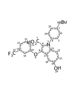 CCCCc1ccc(-n2c(C(=O)O)c(Oc3cccc(C(F)(F)F)c3)c3cc(O)ccc32)cc1